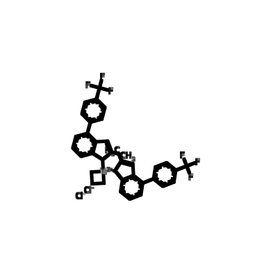 CC1=Cc2c(-c3ccc(C(F)(F)F)cc3)cccc2[CH]1[Ti+2]1([CH]2C(C)=Cc3c(-c4ccc(C(F)(F)F)cc4)cccc32)[CH2]C[CH2]1.[Cl-].[Cl-]